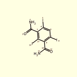 NC(=O)c1c(I)cc(I)c(C(N)=O)c1I